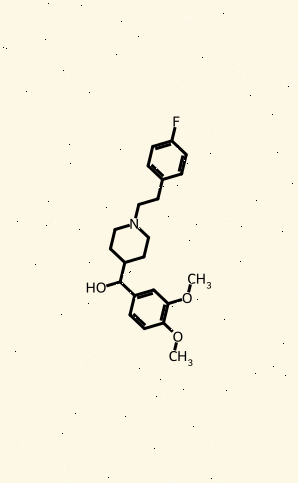 COc1ccc(C(O)C2CCN(CCc3ccc(F)cc3)CC2)cc1OC